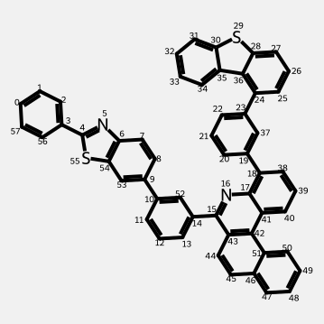 c1ccc(-c2nc3ccc(-c4cccc(-c5nc6c(-c7cccc(-c8cccc9sc%10ccccc%10c89)c7)cccc6c6c5ccc5ccccc56)c4)cc3s2)cc1